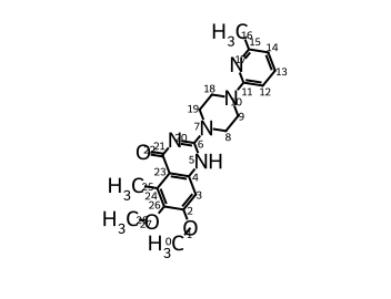 COc1cc2[nH]c(N3CCN(c4cccc(C)n4)CC3)nc(=O)c2c(C)c1OC